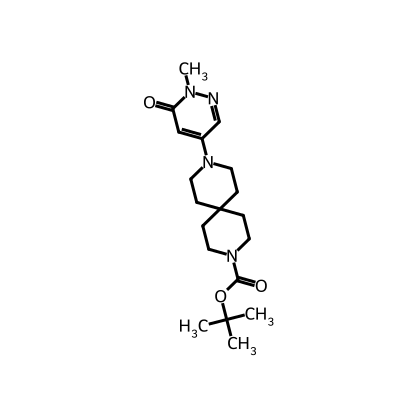 Cn1ncc(N2CCC3(CCN(C(=O)OC(C)(C)C)CC3)CC2)cc1=O